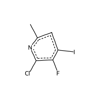 Cc1cc(I)c(F)c(Cl)n1